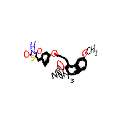 COc1ccc2ccc(OC)c(CCOc3ccc(CC4SC(=O)NC4=O)cc3)c2c1.[Na]